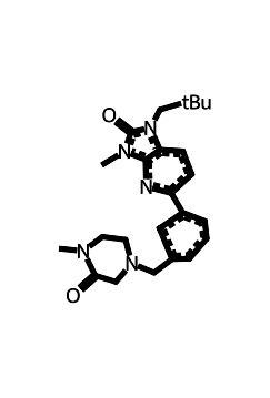 CN1CCN(Cc2cccc(-c3ccc4c(n3)n(C)c(=O)n4CC(C)(C)C)c2)CC1=O